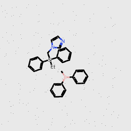 CB(c1ccccc1)c1ccccc1.CC[Si](Cn1ccnc1)(c1ccccc1)c1ccccc1